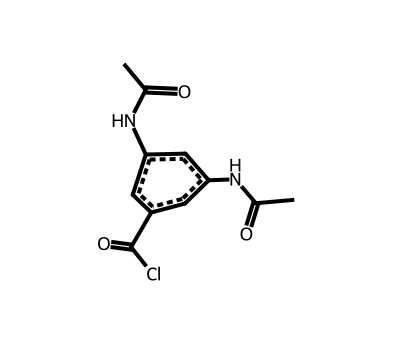 CC(=O)Nc1cc(NC(C)=O)cc(C(=O)Cl)c1